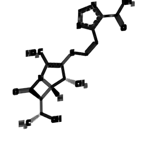 C[C@@H](O)[C@H]1C(=O)N2C(C(=O)O)=C(S/C=C\c3scnc3C(N)=O)[C@H](C)[C@H]12